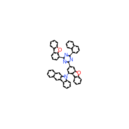 c1ccc2cc3c(cc2c1)c1ccccc1n3-c1cc(-c2nc(-c3cccc4ccccc34)nc(-c3cccc4c3oc3ccccc34)n2)cc2oc3ccccc3c12